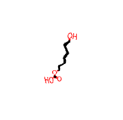 O=C(O)OCCCCCCCO